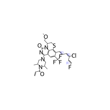 C=CC(=O)N1C(C)CN(c2nc(=O)n3c4c(c(/C=C/C=C(Cl)\C=C\F)c(C(F)(F)F)cc24)SCC3COC)CC1C